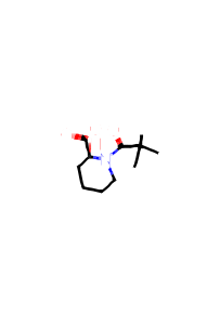 CC(C)(C)C(=O)N1CCCCC1C(=O)O